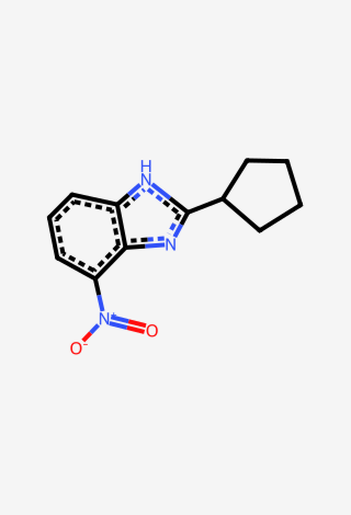 O=[N+]([O-])c1cccc2[nH]c(C3CCCC3)nc12